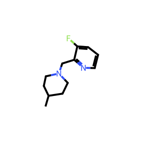 CC1CCN(Cc2ncccc2F)CC1